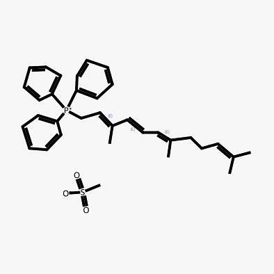 CC(C)=CCC/C(C)=C/C=C/C(C)=C/C[P+](c1ccccc1)(c1ccccc1)c1ccccc1.CS(=O)(=O)[O-]